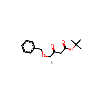 C[C@H](OCc1ccccc1)C(=O)CC(=O)OC(C)(C)C